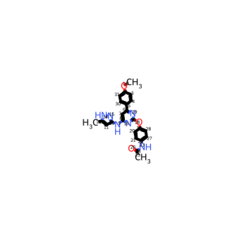 COc1ccc(-c2cc(Nc3cc(C)[nH]n3)nc(Oc3ccc(NC(C)=O)cc3)n2)cc1